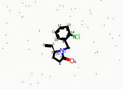 C=C[C@@H]1CCC(=O)N1Cc1ccccc1Cl